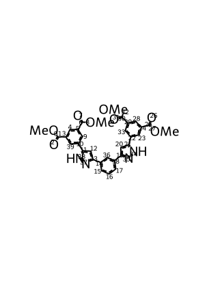 COC(=O)c1cc(C(=O)OC)cc(-c2cc(-c3cccc(-c4cc(-c5cc(C(=O)OC)cc(C(=O)OC)c5)[nH]n4)c3)n[nH]2)c1